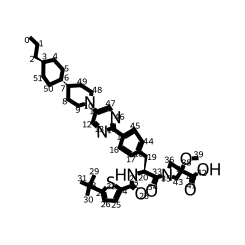 CCC[C@H]1CC[C@H](C2CCN(c3cnc(-c4ccc(C[C@H](NC(=O)c5ccc(C(C)(C)C)s5)C(=O)N5CC(OC)(C(=O)O)C5)cc4)nc3)CC2)CC1